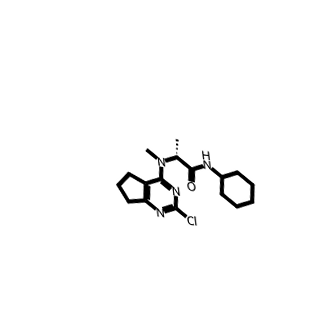 C[C@H](C(=O)NC1CCCCC1)N(C)c1nc(Cl)nc2c1CCC2